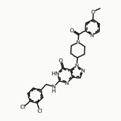 COc1ccnc(C(=O)N2CCC(n3ncc4nc(NCc5ccc(Cl)c(Cl)c5)[nH]c(=O)c43)CC2)c1